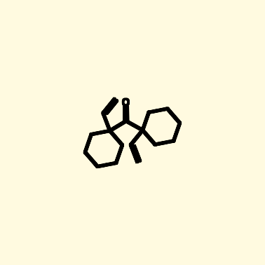 C=CC1(C(=O)C2(C=C)CCCCC2)CCCCC1